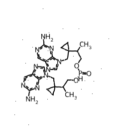 CC(CO[PH](=O)OCC(C)C1(Cn2cnc3cnc(N)nc32)CC1)C1(Cn2cnc3cnc(N)nc32)CC1